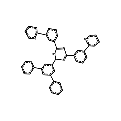 c1ccc(-c2cc(-c3ccccc3)cc(C3N=C(c4cccc(-c5ccccn5)c4)N=C(c4cccc(-c5ccccn5)c4)N3)c2)cc1